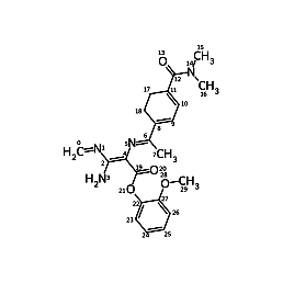 C=N/C(N)=C(\N=C(/C)C1=CC=C(C(=O)N(C)C)CC1)C(=O)Oc1ccccc1OC